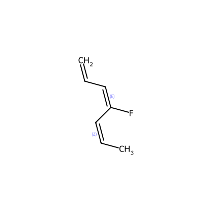 C=C/C=C(F)\C=C/C